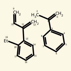 C=C(C)c1ccccc1.C=CC(=C)c1ccccc1CC